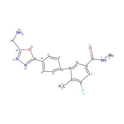 CCC(C)NC(=O)c1cc(F)c(C)c(-c2ccc(-c3nnc(CN)o3)cc2)c1